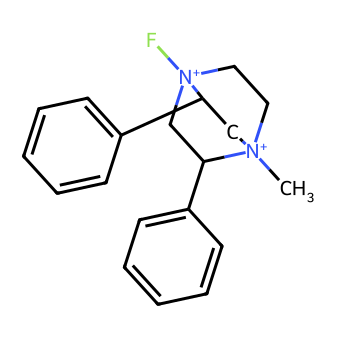 C[N+]12CC[N+](F)(CC1c1ccccc1)C(c1ccccc1)C2